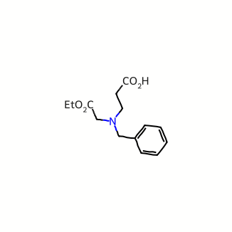 CCOC(=O)CN(CCC(=O)O)Cc1ccccc1